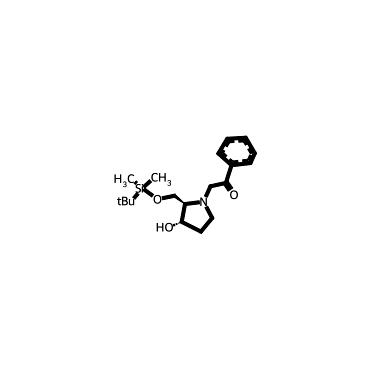 CC(C)(C)[Si](C)(C)OC[C@@H]1[C@@H](O)CCN1CC(=O)c1ccccc1